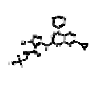 CCn1ncc(NC(=O)Oc2nc(C3CC3)cnc2Nc2cncnc2)c1C(=O)NCC(C)(C)O